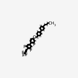 CCCCC1CCC(C2CCC(COc3ccc(-c4cc(F)c(C#CC(F)(F)F)c(F)c4)c(F)c3)CC2)CC1